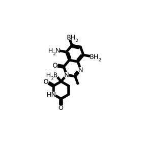 Bc1cc(B)c2nc(C)n(C3(B)CCC(=O)NC3=O)c(=O)c2c1N